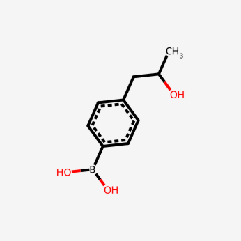 CC(O)Cc1ccc(B(O)O)cc1